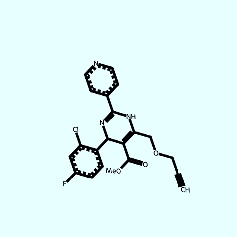 C#CCOCC1=C(C(=O)OC)C(c2ccc(F)cc2Cl)N=C(c2ccncc2)N1